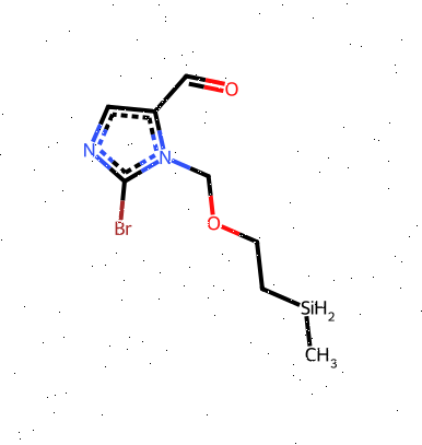 C[SiH2]CCOCn1c(C=O)cnc1Br